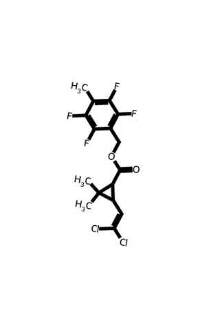 Cc1c(F)c(F)c(COC(=O)C2C(C=C(Cl)Cl)C2(C)C)c(F)c1F